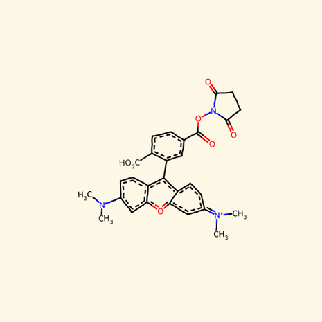 CN(C)c1ccc2c(-c3cc(C(=O)ON4C(=O)CCC4=O)ccc3C(=O)O)c3ccc(=[N+](C)C)cc-3oc2c1